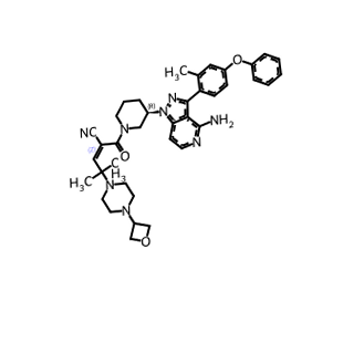 Cc1cc(Oc2ccccc2)ccc1-c1nn([C@@H]2CCCN(C(=O)/C(C#N)=C\C(C)(C)N3CCN(C4COC4)CC3)C2)c2ccnc(N)c12